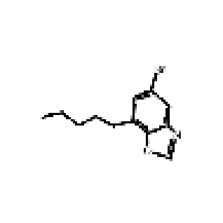 CCCCCc1cc(Br)cc2ncoc12